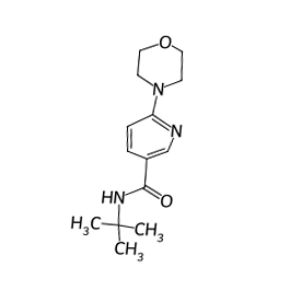 CC(C)(C)NC(=O)c1ccc(N2CCOCC2)nc1